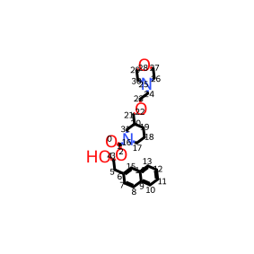 O=C(OC(O)Cc1ccc2ccccc2c1)N1CCCC(COCCN2CCOCC2)C1